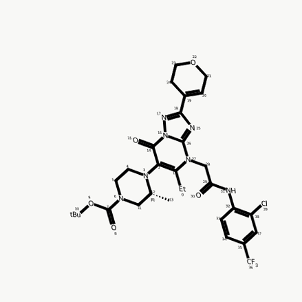 CCc1c(N2CCN(C(=O)OC(C)(C)C)C[C@H]2C)c(=O)n2nc(C3=CCOCC3)nc2n1CC(=O)Nc1ccc(C(F)(F)F)cc1Cl